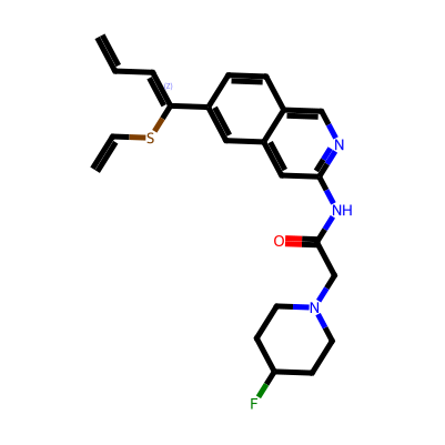 C=C/C=C(\SC=C)c1ccc2cnc(NC(=O)CN3CCC(F)CC3)cc2c1